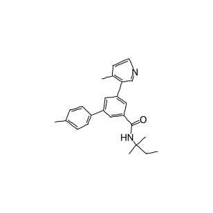 CCC(C)(C)NC(=O)c1cc(-c2ccc(C)cc2)cc(-c2cnccc2C)c1